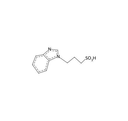 O=S(=O)(O)CCCn1cnc2ccccc21